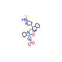 COC(=O)N1CC2(C1)C(=O)N(Cc1ncc3ccccc3c1-c1ccc(NSC)nc1)c1ccccc12